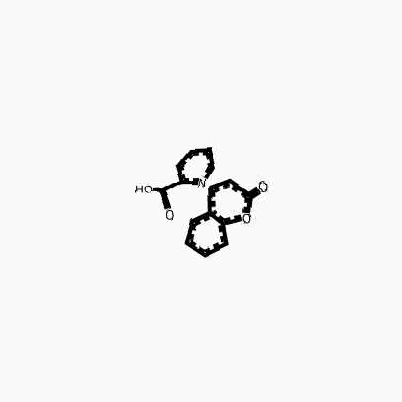 O=C(O)c1ccccn1.O=c1ccc2ccccc2o1